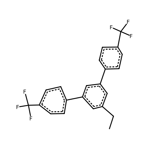 CCc1cc(-c2ccc(C(F)(F)F)cc2)cc(-c2ccc(C(F)(F)F)cc2)c1